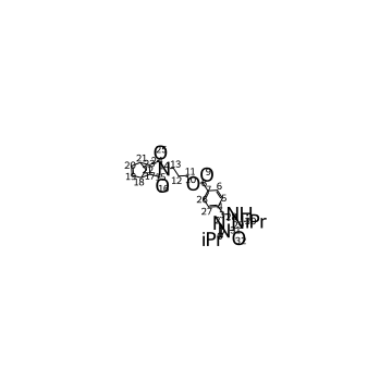 CC(C)N1N=C(c2ccc(C(=O)OCCCN3C(=O)C4C5C=CC(C5)C4C3=O)cc2)NN(C(C)C)C1=O